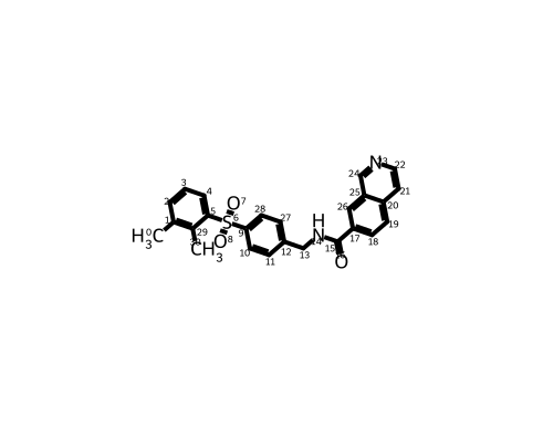 Cc1cccc(S(=O)(=O)c2ccc(CNC(=O)c3ccc4ccncc4c3)cc2)c1C